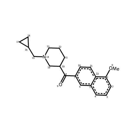 COc1cccc2cc(C(=O)C3CCCN(CC4CC4)C3)ccc12